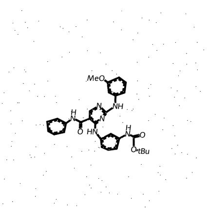 COc1cccc(Nc2ncc(C(=O)Nc3ccccc3)c(Nc3cccc(NC(=O)OC(C)(C)C)c3)n2)c1